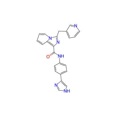 O=C(Nc1ccc(-c2c[nH]cn2)cc1)c1nc(Cc2cccnc2)n2ccccc12